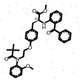 COC(=O)[C@H](Cc1ccc(OCCN(C(=O)C(C)(C)C)c2ccccc2OC)cc1)Nc1ccccc1C(=O)c1ccccc1